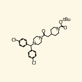 CC(C)(C)OC(=O)N1CCC(CC(=O)N2CCN(C(c3ccc(Cl)cc3)c3ccc(Cl)cc3)CC2)CC1